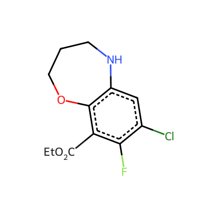 CCOC(=O)c1c(F)c(Cl)cc2c1OCCCN2